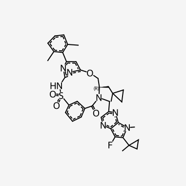 Cc1cccc(C)c1-c1cc2nc(n1)NS(=O)(=O)c1cccc(c1)C(=O)N(Cc1cnc3c(F)c(C4(C)CC4)n(C)c3n1)[C@H](CC1(C)CC1)CO2